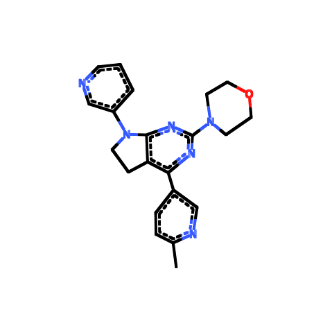 Cc1ccc(-c2nc(N3CCOCC3)nc3c2CCN3c2cccnc2)cn1